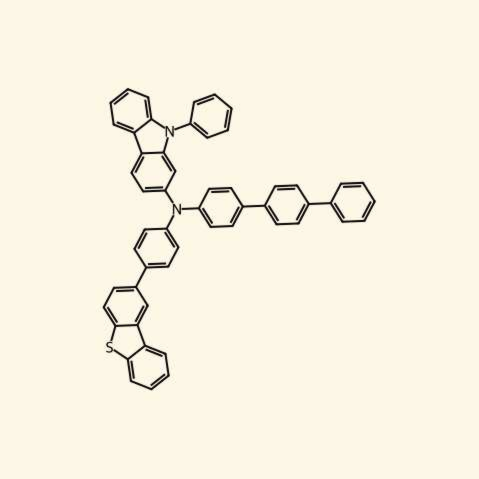 c1ccc(-c2ccc(-c3ccc(N(c4ccc(-c5ccc6sc7ccccc7c6c5)cc4)c4ccc5c6ccccc6n(-c6ccccc6)c5c4)cc3)cc2)cc1